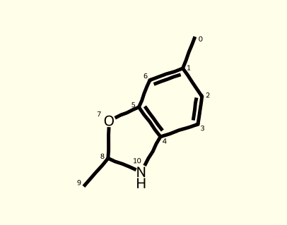 Cc1ccc2c(c1)OC(C)N2